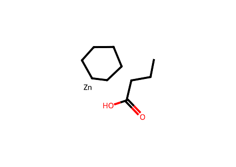 C1CCCCC1.CCCC(=O)O.[Zn]